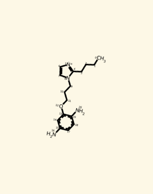 CCCCC1=[N+]C=CN1CCCOc1cc(N)ccc1N